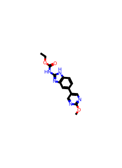 CCOC(=O)Nc1nc2cc(-c3cnc(OC)nc3)ccc2[nH]1